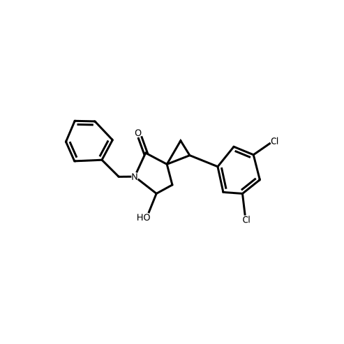 O=C1N(Cc2ccccc2)C(O)CC12CC2c1cc(Cl)cc(Cl)c1